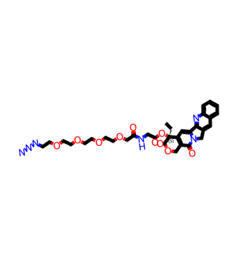 CC[C@@]1(OC(=O)CNC(=O)COCCOCCOCCOCCN=[N+]=[N-])C(=O)OCc2c1cc1n(c2=O)Cc2cc3ccccc3nc2-1